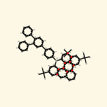 CC(C)(C)c1cc(-c2cccc3cccc(-c4ccccc4N(c4ccc(-c5ccc(-c6ccccc6)c(-c6ccccc6)c5)cc4)c4cc(C(C)(C)C)ccc4-c4ccccc4)c23)cc(C(C)(C)C)c1